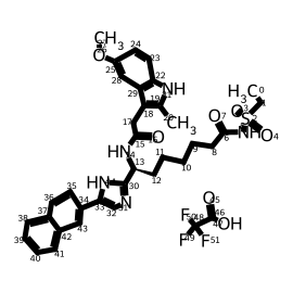 CCS(=O)(=O)NC(=O)CCCCC[C@H](NC(=O)Cc1c(C)[nH]c2ccc(OC)cc12)c1ncc(-c2ccc3ccccc3c2)[nH]1.O=C(O)C(F)(F)F